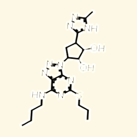 CCCCNc1nc(SCCC)nc2c1nnn2C1CC(c2nnc(C)[nH]2)[C@@H](O)[C@H]1O